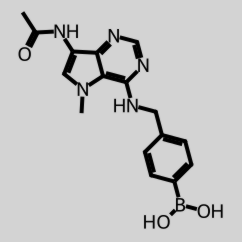 CC(=O)Nc1cn(C)c2c(NCc3ccc(B(O)O)cc3)ncnc12